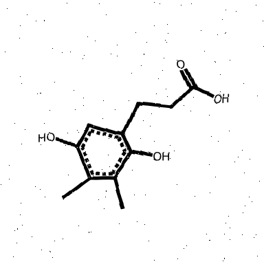 Cc1c(O)cc(CCC(=O)O)c(O)c1C